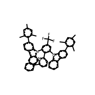 Cc1cc(C)c(-c2ccc3c4ccccc4n(-c4cc(C(F)(F)F)cc(-n5c6ccccc6c6ccc(-c7c(C)cc(C)cc7C)cc65)c4-c4cccc(-c5ccccc5)n4)c3c2)c(C)c1